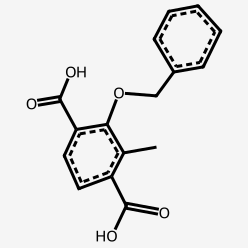 Cc1c(C(=O)O)ccc(C(=O)O)c1OCc1ccccc1